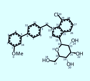 COc1cccc(-c2ccc(Cn3cc([C@@H]4O[C@H](CO)[C@@H](O)[C@H](O)[C@H]4O)c4cccc(Cl)c43)cc2)c1